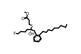 CCCCCCCCCc1ccccc1C[C@@](O)(CCCCF)SCCC(=O)OC